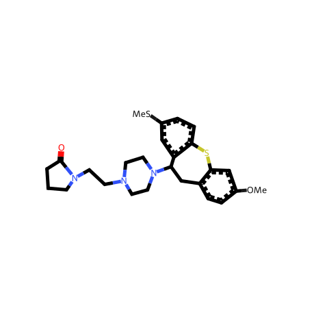 COc1ccc2c(c1)Sc1ccc(SC)cc1C(N1CCN(CCN3CCCC3=O)CC1)C2